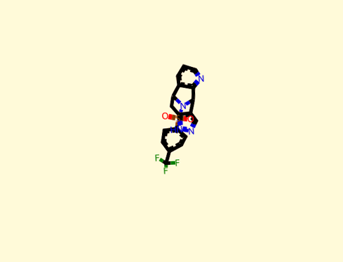 O=S(=O)(c1ccc(C(F)(F)F)cc1)N1C2Cc3[nH]ncc3C1c1ncccc12